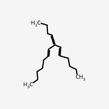 [CH2]CCC=C(C=CCCCC)C=CCCCCC